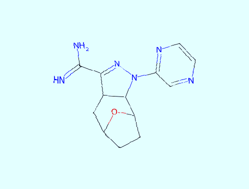 N=C(N)C1=NN(c2cnccn2)C2C3CCC(CC12)O3